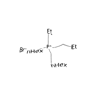 CCCCCC[P+](CC)(CC)CCCCCC.[Br-]